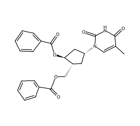 Cc1cn([C@@H]2C[C@H](COC(=O)c3ccccc3)[C@@H](OC(=O)c3ccccc3)C2)c(=O)[nH]c1=O